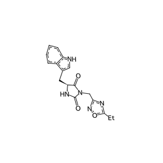 CCc1nc(CN2C(=O)N[C@@H](Cc3c[nH]c4ccccc34)C2=O)no1